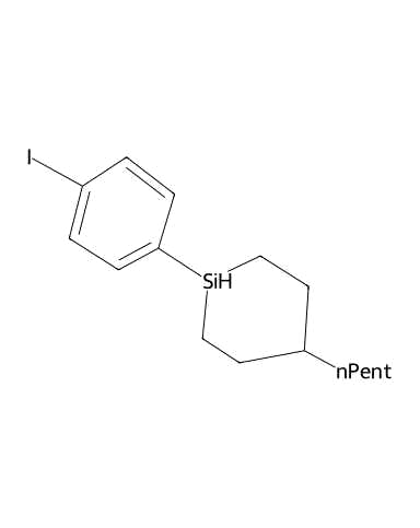 CCCCCC1CC[SiH](c2ccc(I)cc2)CC1